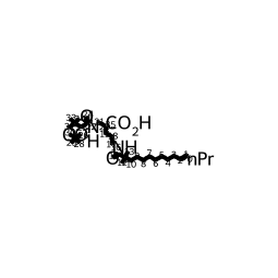 CCCC=CCCCCCCCCC(C)(C)C(=O)NCCCC(CNC(=O)C1OC(C)(C)OCC1(C)C)C(=O)O